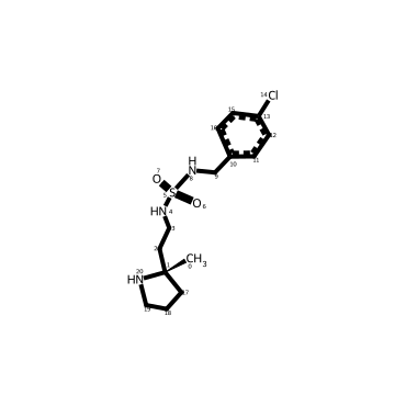 C[C@@]1(CCNS(=O)(=O)NCc2ccc(Cl)cc2)CCCN1